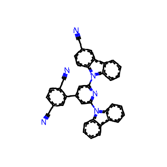 N#Cc1ccc(C#N)c(-c2cc(-n3c4ccccc4c4ccccc43)nc(-n3c4ccccc4c4cc(C#N)ccc43)c2)c1